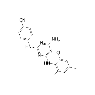 Cc1cc(C)c(Nc2nc(N)nc(Nc3ccc(C#N)cc3)n2)c(Cl)c1